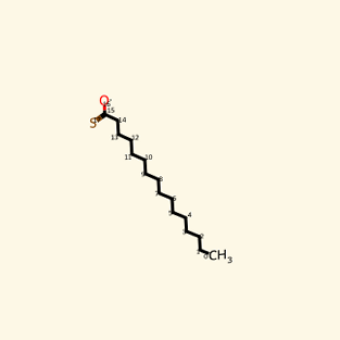 CCCCCCCCCCCCCCCC([O])=S